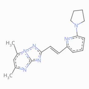 Cc1cc(C)n2nc(C=Cc3cccc(N4CCCC4)n3)nc2n1